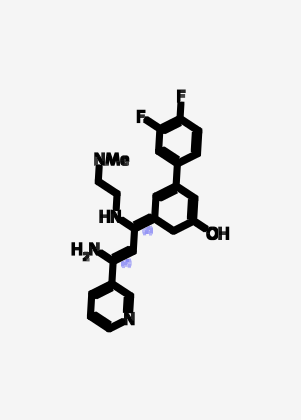 CNCCNC(/C=C(\N)c1cccnc1)=C1\C=C(c2ccc(F)c(F)c2)C=C(O)C1